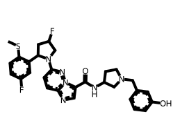 CSc1ccc(F)cc1C1CC(F)CN1c1ccc2ncc(C(=O)NC3CCN(Cc4cccc(O)c4)C3)n2n1